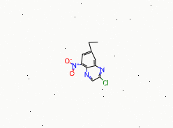 CCc1cc([N+](=O)[O-])c2ncc(Cl)nc2c1